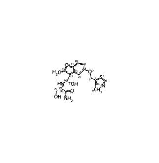 Cc1ncsc1COc1ccc2oc(C)c(C(O)N[C@@H](CO)C(N)=O)c2c1